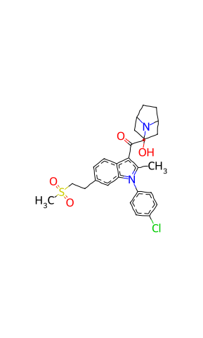 Cc1c(C(=O)CN2C3CCC2CC(O)C3)c2ccc(CCS(C)(=O)=O)cc2n1-c1ccc(Cl)cc1